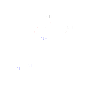 COC(=O)[C@H](CCSC)NC(=O)c1ccc(-c2cccnc2N)cc1-c1ccccc1